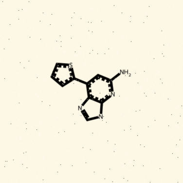 Nc1cc(-c2cccs2)c2c(n1)[N]C=N2